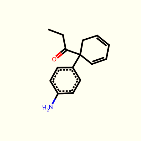 CCC(=O)C1(c2ccc(N)cc2)C=CC=CC1